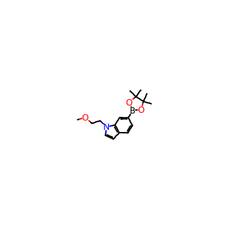 COCCn1ccc2ccc(B3OC(C)(C)C(C)(C)O3)cc21